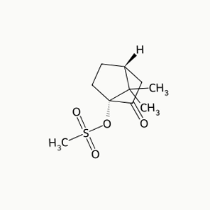 CC1(C)[C@@H]2CC[C@]1(OS(C)(=O)=O)C(=O)C2